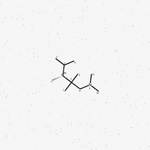 CC(C)[C@@H](C)C(C)(C)CN(C)C